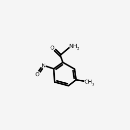 Cc1ccc(N=O)c(C(N)=O)c1